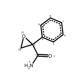 NC(=O)C1(c2ccccc2)CO1